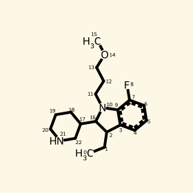 CCC1c2cccc(F)c2N(CCCOC)C1C1CCCNC1